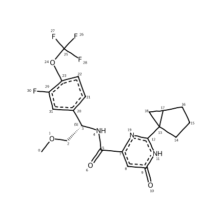 COC[C@@H](NC(=O)c1cc(=O)[nH]c(C23CCCC2C3)n1)c1ccc(OC(F)(F)F)c(F)c1